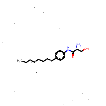 CCCCCCCCc1ccc(NC(=O)[C@@H](N)CO)cc1